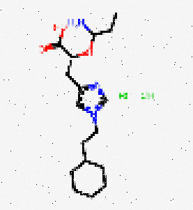 CCC(N)O[C@@H](Cc1cn(CCC2CCCCC2)cn1)C(=O)O.Cl.Cl